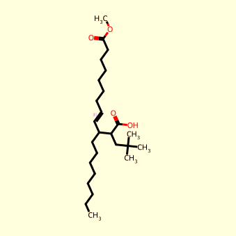 CCCCCCCCC(/C=C/CCCCCCC(=O)OC)C(CC(C)(C)C)C(=O)O